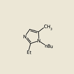 CCCCn1c(C)cnc1CC